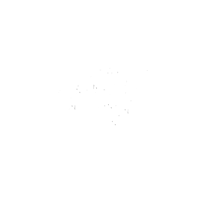 CCOC(=O)c1cnc(N(C)C(C)c2cc3nc(Cl)nc(N4CCOCC4)c3s2)nc1